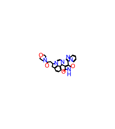 O=C1NC(=O)C(c2cnc3ccccn23)=C1C1=NC=CN2c3c(cccc31)CC2CC(=O)N1CCOCC1